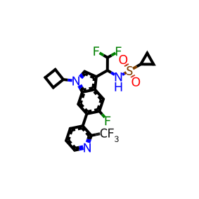 O=S(=O)(NC(c1cn(C2CCC2)c2cc(-c3cccnc3C(F)(F)F)c(F)cc12)C(F)F)C1CC1